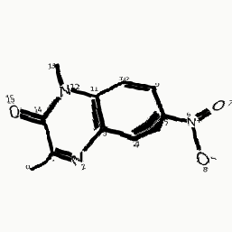 Cc1nc2cc([N+](=O)[O-])ccc2n(C)c1=O